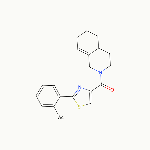 CC(=O)c1ccccc1-c1nc(C(=O)N2CCC3CCCC=C3C2)cs1